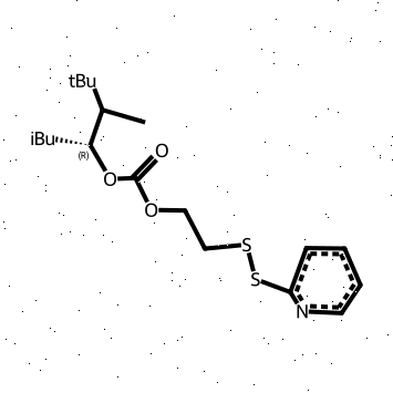 CCC(C)[C@@H](OC(=O)OCCSSc1ccccn1)C(C)C(C)(C)C